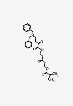 C=C(C)C(=O)OCCC(=O)CCNC(=O)C(=O)CCN(Cc1ccccc1)Cc1ccccc1